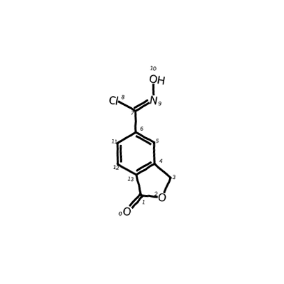 O=C1OCc2cc(C(Cl)=NO)ccc21